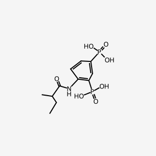 CCC(C)C(=O)Nc1ccc(P(=O)(O)O)cc1P(=O)(O)O